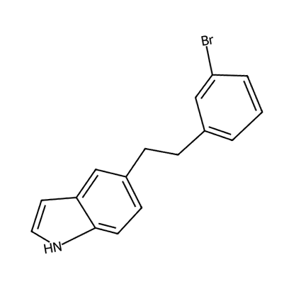 Brc1cccc(CCc2ccc3[nH]ccc3c2)c1